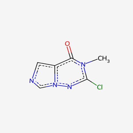 Cn1c(Cl)nn2cncc2c1=O